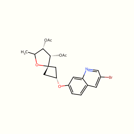 CC(=O)O[C@H]1C(C)O[C@]2(C[C@@H](Oc3ccc4cc(Br)cnc4c3)C2)[C@H]1OC(C)=O